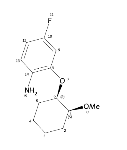 CO[C@H]1CCCC[C@H]1Oc1cc(F)ccc1N